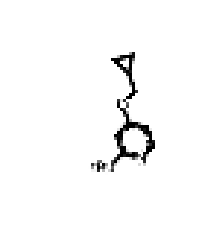 CC(C)(C)c1cc(OCC2CC2)ccn1